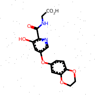 O=C(O)CNC(=O)c1ncc(Oc2ccc3c(c2)OCCO3)cc1O